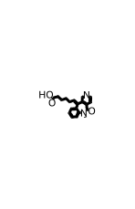 CN1C(=O)c2ccncc2/C(=C/CCCCC(=O)O)c2ccccc21